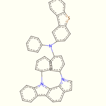 c1ccc(N(c2ccc(-n3ccc4ccc5c6ccccc6n(-c6ccccc6)c5c43)cc2)c2ccc3sc4ccccc4c3c2)cc1